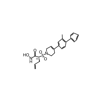 C=CC[C@@H](C(=O)NO)S(=O)(=O)N1CC=C(c2ccc(-c3ccccc3)c(C)c2)CC1